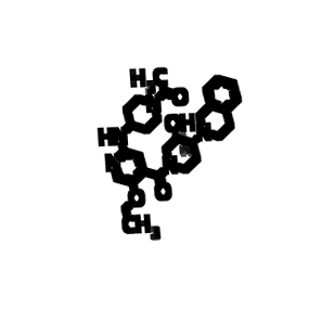 CCOc1cnc(NC2CCN(C(C)=O)CC2)cc1C(=O)N1CC[C@H](N2CCc3ccccc3C2)[C@@H](O)C1